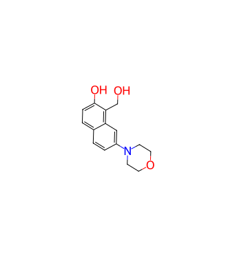 OCc1c(O)ccc2ccc(N3CCOCC3)cc12